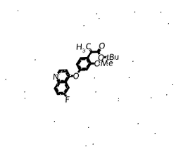 COc1cc(Oc2ccnc3ccc(F)cc23)ccc1C(C)C(=O)OC(C)(C)C